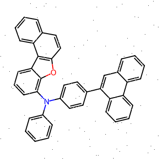 c1ccc(N(c2ccc(-c3cc4ccccc4c4ccccc34)cc2)c2cccc3c2oc2ccc4ccccc4c23)cc1